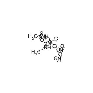 C=CCCNC(=O)Cn1c(-c2ccc(OCc3cc(N4CCCC4=O)ccc3N3CCOCC3)cc2)c(C2CCCCC2)c2ccc(C(=O)NS(=O)(=O)CC=C)cc21